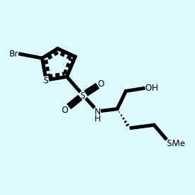 CSCC[C@@H](CO)NS(=O)(=O)c1ccc(Br)s1